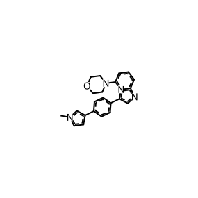 Cn1ccc(-c2ccc(-c3cnc4cccc(N5CCOCC5)n34)cc2)c1